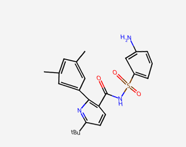 Cc1cc(C)cc(-c2nc(C(C)(C)C)ccc2C(=O)NS(=O)(=O)c2cccc(N)c2)c1